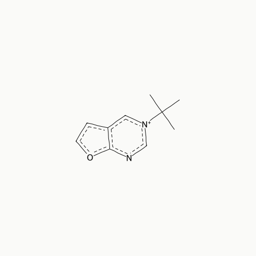 CC(C)(C)[n+]1cnc2occc2c1